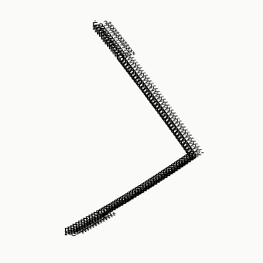 [Fe+3].[Fe+3].[Fe+3].[Fe+3].[Fe+3].[Fe+3].[Fe+3].[Fe+3].[Fe+3].[Fe+3].[Fe+3].[Fe+3].[Fe+3].[Fe+3].[Fe+3].[Fe+3].[Fe+3].[Fe+3].[Fe+3].[Fe+3].[Fe+3].[Fe+3].[Fe+3].[Fe+3].[Fe+3].[Fe+3].[O-2].[O-2].[O-2].[O-2].[O-2].[O-2].[O-2].[O-2].[O-2].[O-2].[O-2].[O-2].[O-2].[O-2].[O-2].[O-2].[O-2].[O-2].[O-2].[O-2].[O-2].[O-2].[O-2].[O-2].[O-2].[O-2].[O-2].[O-2].[O-2].[O-2].[O-2].[O-2].[O-2].[O-2].[O-2].[O-2].[O-2].[O-2].[O-2].[O-2].[O-2].[O-2].[O-2].[O-2].[O-2].[O-2].[O-2].[O-2].[O-2].[O-2].[O-2].[O-2].[O-2].[O-2].[O-2].[O-2].[O-2].[O-2].[O-2].[O-2].[O-2].[O-2].[O-2].[O-2].[O-2].[O-2].[O-2].[O-2].[O-2].[O-2].[O-2].[O-2]